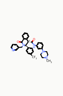 CN1CCN(c2cccc(NC(=O)[C@H]3c4ccccc4C(=O)N(Cc4cccnc4)[C@@H]3c3ccc(C(F)(F)F)cc3)c2)CC1